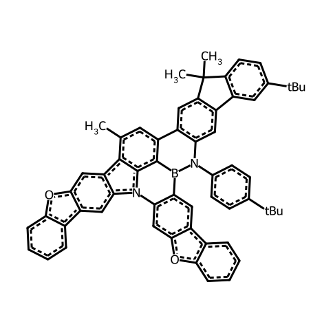 Cc1cc2c3c4c1c1cc5oc6ccccc6c5cc1n4-c1cc4oc5ccccc5c4cc1B3N(c1ccc(C(C)(C)C)cc1)c1cc3c(cc1-2)C(C)(C)c1ccc(C(C)(C)C)cc1-3